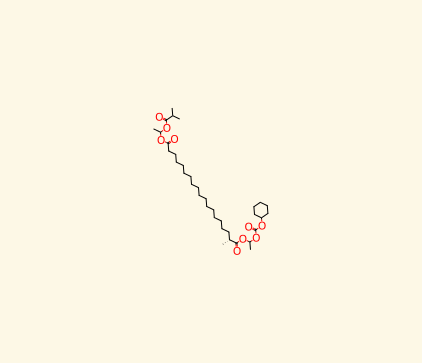 CC(OC(=O)CCCCCCCCCCCCCCCC[C@@H](C)C(=O)OC(C)OC(=O)OC1CCCCC1)OC(=O)C(C)C